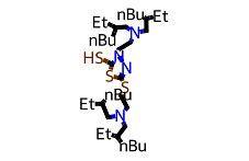 CCCCC(CC)CN(CCSC1=NN(CCN(CC(CC)CCCC)CC(CC)CCCC)C(S)S1)CC(CC)CCCC